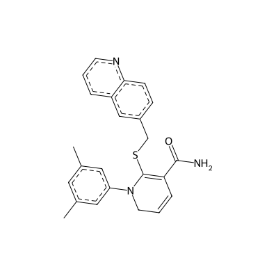 Cc1cc(C)cc(N2CC=CC(C(N)=O)=C2SCc2ccc3ncccc3c2)c1